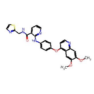 COc1cc2nccc(Oc3ccc(Nc4ncccc4C(=O)NCc4nccs4)cc3)c2cc1OC